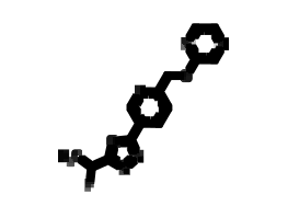 CC(F)c1nnc(-c2ccc(COc3cnccn3)nc2)o1